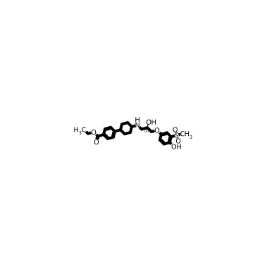 CCOC(=O)c1ccc(C2CCC(NC[C@H](O)COc3ccc(O)c(S(C)(=O)=O)c3)CC2)cc1